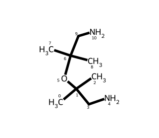 CC(C)(CN)OC(C)(C)CN